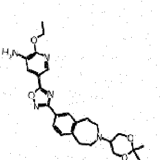 CCOc1ncc(-c2nc(-c3ccc4c(c3)CCN(C3COC(C)(C)OC3)CC4)no2)cc1N